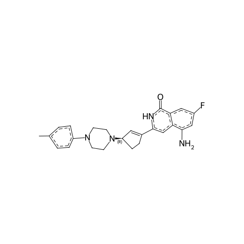 Cc1ccc(N2CCN([C@H]3C=C(c4cc5c(N)cc(F)cc5c(=O)[nH]4)CC3)CC2)cc1